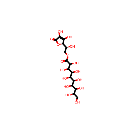 O=C1O[C@H]([C@@H](O)COC(=O)C(O)C(O)C(O)C(O)C(O)C(O)C(O)C(O)CO)C(O)=C1O